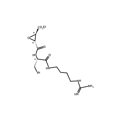 CCOC(=O)[C@@H]1O[C@H]1C(=O)N[C@@H](CC(C)C)C(=O)NCCCCNC(=N)N